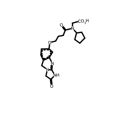 O=C(O)CN(C(=O)CCCOc1ccc2c(c1)N=C1NC(=O)CN1C2)C1CCCC1